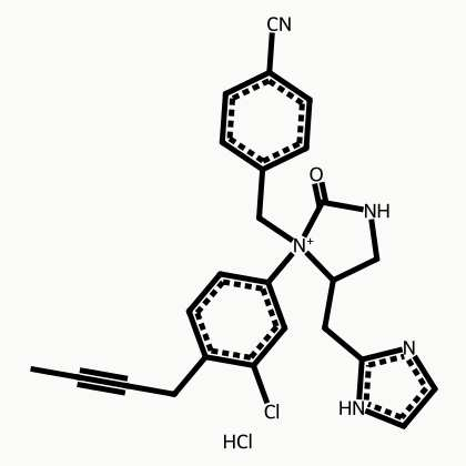 CC#CCc1ccc([N+]2(Cc3ccc(C#N)cc3)C(=O)NCC2Cc2ncc[nH]2)cc1Cl.Cl